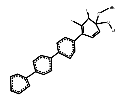 CCCCOC1(OCC)C=CC(c2ccc(-c3ccc(-c4ccccc4)cc3)cc2)=C(F)C1F